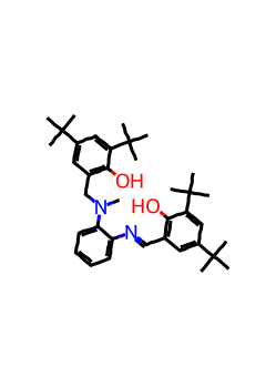 CN(Cc1cc(C(C)(C)C)cc(C(C)(C)C)c1O)c1ccccc1/N=C/c1cc(C(C)(C)C)cc(C(C)(C)C)c1O